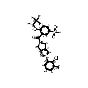 C[C@H](Oc1ccc(S(C)(=O)=O)cc1C(=O)N1Cc2cn(-c3cccc(F)c3Cl)nc2C1)C(F)(F)F